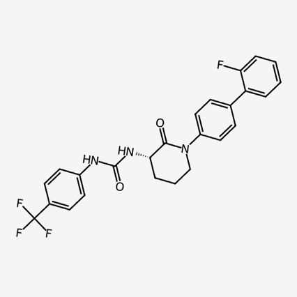 O=C(Nc1ccc(C(F)(F)F)cc1)N[C@H]1CCCN(c2ccc(-c3ccccc3F)cc2)C1=O